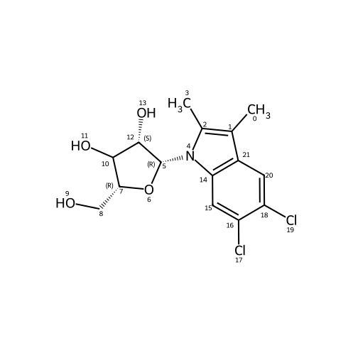 Cc1c(C)n([C@@H]2O[C@H](CO)C(O)[C@@H]2O)c2cc(Cl)c(Cl)cc12